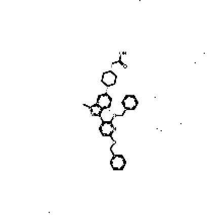 Cn1nc(-c2ccc(OCc3ccccc3)nc2OCc2ccccc2)c2ccc([C@H]3CC[C@@H](CC(=O)O)CC3)cc21